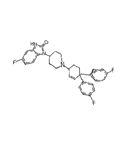 O=c1[nH]c2cc(F)ccc2n1C1CCN(C2C=CC(c3ccc(F)cc3)(c3ccc(F)cc3)CC2)CC1